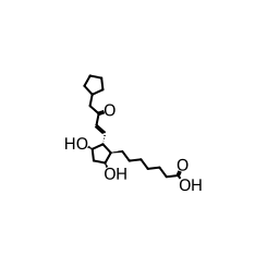 O=C(O)CCCCCC[C@@H]1[C@@H](C=CC(=O)CC2CCCC2)[C@H](O)C[C@@H]1O